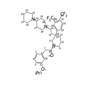 CC(C)Oc1cccc(CC(=O)N2CCCC(CCN3CCC(N4CCCCC4)CC3)(c3ccc(C(F)(F)F)c(C(F)(F)F)c3)C2)c1